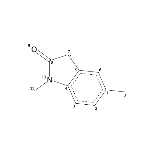 Cc1ccc2c(c1)[C]C(=O)N2C